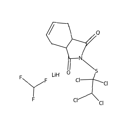 FC(F)F.O=C1C2CC=CCC2C(=O)N1SC(Cl)(Cl)C(Cl)Cl.[LiH]